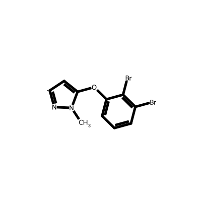 Cn1n[c]cc1Oc1cccc(Br)c1Br